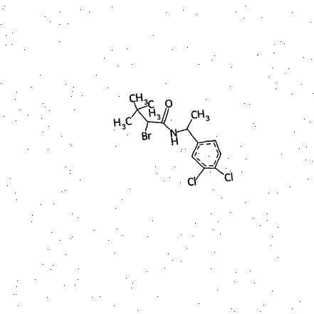 CC(NC(=O)C(Br)C(C)(C)C)c1ccc(Cl)c(Cl)c1